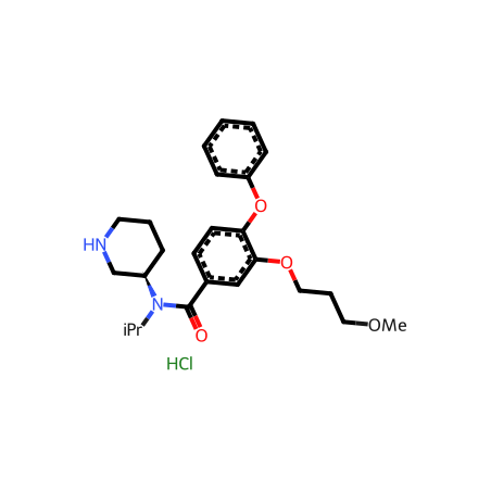 COCCCOc1cc(C(=O)N(C(C)C)[C@@H]2CCCNC2)ccc1Oc1ccccc1.Cl